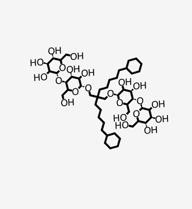 OCC1O[C@H](O[C@@H]2C(CO)O[C@@H](OCC(CCCCCC3CCCCC3)(CCCCCC3CCCCC3)CO[C@@H]3OC(CO)[C@@H](O[C@@H]4OC(CO)[C@@H](O)[C@H](O)C4O)[C@H](O)C3O)C(O)[C@H]2O)C(O)[C@@H](O)[C@@H]1O